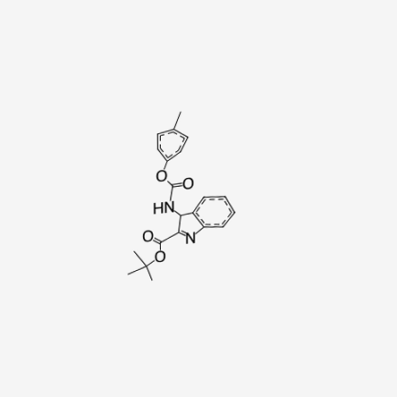 Cc1ccc(OC(=O)NC2C(C(=O)OC(C)(C)C)=Nc3ccccc32)cc1